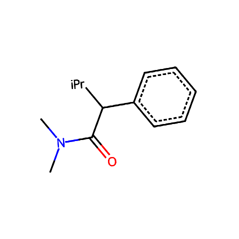 CC(C)C(C(=O)N(C)C)c1ccccc1